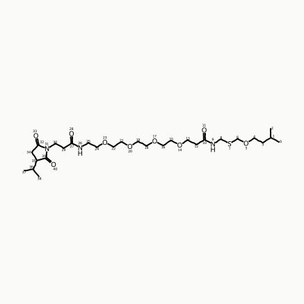 CC(C)CCOCSCNC(=O)CCOCCOCCOCCOCCNC(=O)CCN1C(=O)CC(C(C)C)C1=O